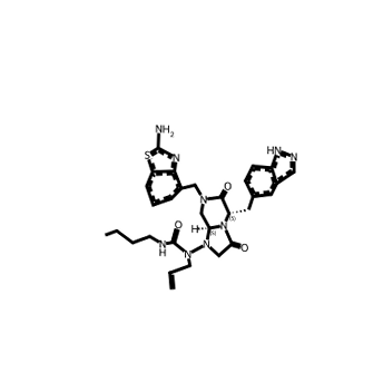 C=CCN(C(=O)NCCCC)N1CC(=O)N2[C@@H](Cc3ccc4[nH]ncc4c3)C(=O)N(Cc3cccc4sc(N)nc34)C[C@@H]21